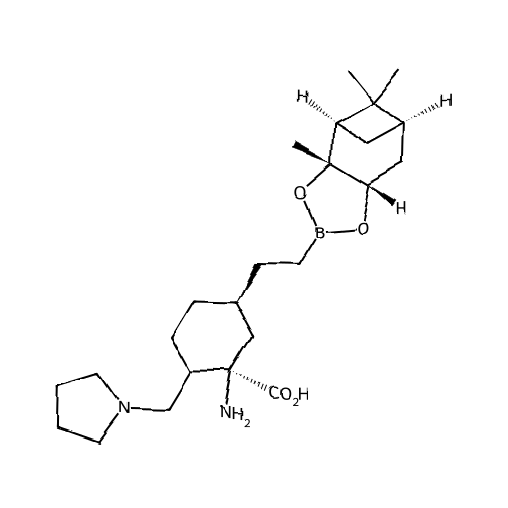 CC1(C)[C@H]2C[C@@H]3OB(CC[C@@H]4CCC(CN5CCCC5)[C@@](N)(C(=O)O)C4)O[C@]3(C)[C@@H]1C2